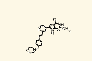 Nc1nc2[nH]c(-c3ccnc(/C=C/c4ccc(CN5CCOCC5)cc4)c3)cc2c(=O)[nH]1